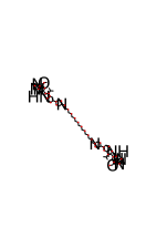 COc1cc(-c2[nH]c3ccc(C4CCN(CCCCCCCCCCCCCCCCCCN5CCC(c6ccc7[nH]c(-c8cc(OC)c9ncnn9c8)c(C(C)C)c7c6)CC5)CC4)cc3c2C(C)C)cn2ncnc12